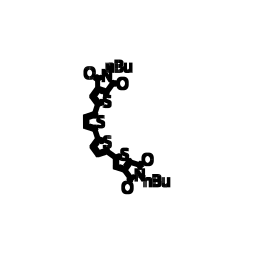 CCCCN1C(=O)c2cc(-c3ccc(-c4ccc(-c5cc6c(s5)C(=O)N(CCCC)C6=O)s4)s3)sc2C1=O